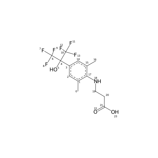 Cc1cc(C(O)(C(F)(F)F)C(F)(F)F)cc(C)c1NCCC(=O)O